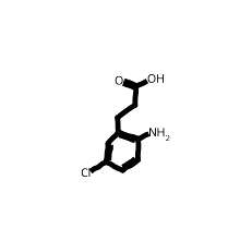 Nc1ccc(Cl)cc1CCC(=O)O